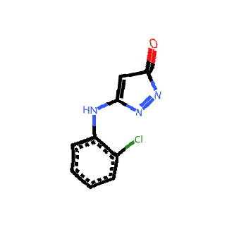 O=C1C=C(Nc2ccccc2Cl)N=N1